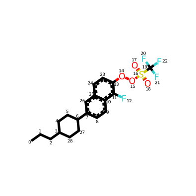 CCCC1CCC(c2ccc3c(F)c(OOS(=O)(=O)C(F)(F)F)ccc3c2)CC1